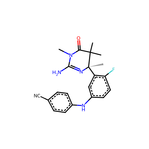 CN1C(=O)C(C)(C)[C@@](C)(c2cc(Nc3ccc(C#N)cc3)ccc2F)N=C1N